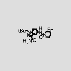 CC(C)(C)Cn1nc(C(N)=O)c2cc(NC(=O)N3CCCC(F)(F)C3)ccc21